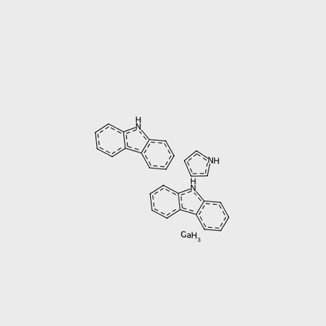 [GaH3].c1cc[nH]c1.c1ccc2c(c1)[nH]c1ccccc12.c1ccc2c(c1)[nH]c1ccccc12